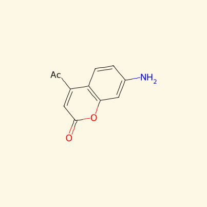 CC(=O)c1cc(=O)oc2cc(N)ccc12